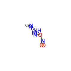 O=S1(=O)CCN(CCCCOc2ccc3c(Nc4ccc5c(cnn5Cc5ccccc5)c4)ncnc3c2)CC1